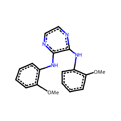 COc1ccccc1Nc1nccnc1Nc1ccccc1OC